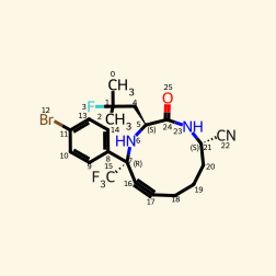 CC(C)(F)C[C@@H]1N[C@@](c2ccc(Br)cc2)(C(F)(F)F)C#CCCC[C@@H](C#N)NC1=O